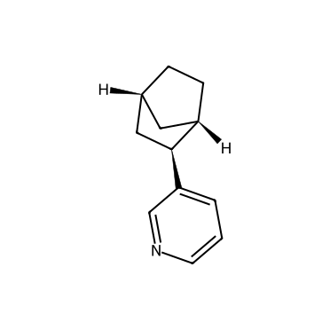 c1cncc([C@H]2C[C@@H]3CC[C@H]2C3)c1